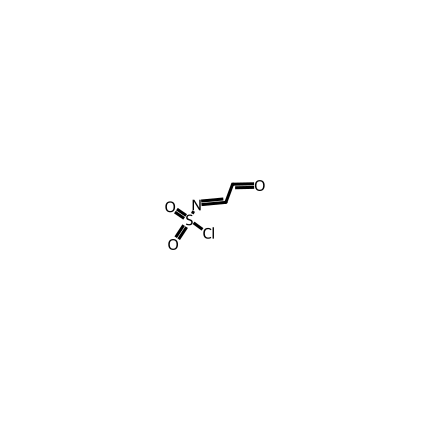 O=CC=NS(=O)(=O)Cl